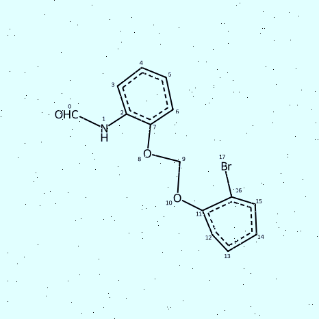 O=CNc1ccccc1OCOc1ccccc1Br